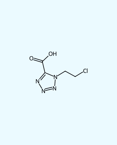 O=C(O)c1nnnn1CCCl